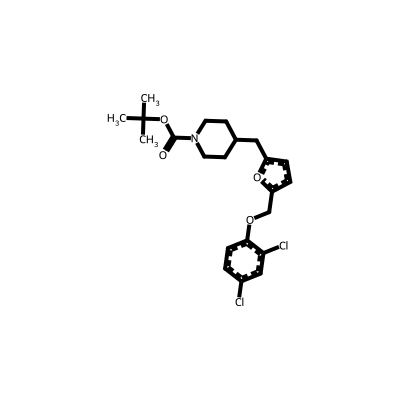 CC(C)(C)OC(=O)N1CCC(Cc2ccc(COc3ccc(Cl)cc3Cl)o2)CC1